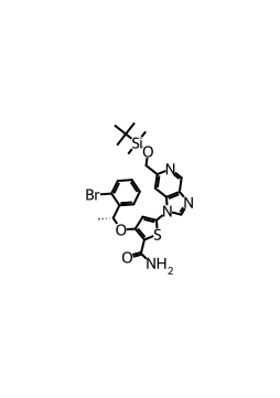 C[C@@H](Oc1cc(-n2cnc3cnc(CO[Si](C)(C)C(C)(C)C)cc32)sc1C(N)=O)c1ccccc1Br